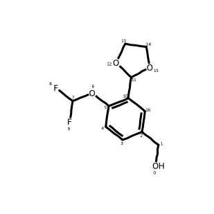 OCc1ccc(OC(F)F)c(C2OCCO2)c1